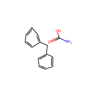 NC(=O)O.c1ccc(Cc2ccccc2)cc1